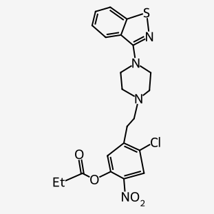 CCC(=O)Oc1cc(CCN2CCN(c3nsc4ccccc34)CC2)c(Cl)cc1[N+](=O)[O-]